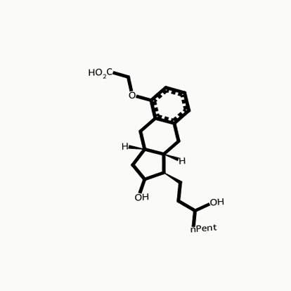 CCCCCC(O)CC[C@H]1C(O)C[C@@H]2Cc3c(cccc3OCC(=O)O)C[C@@H]21